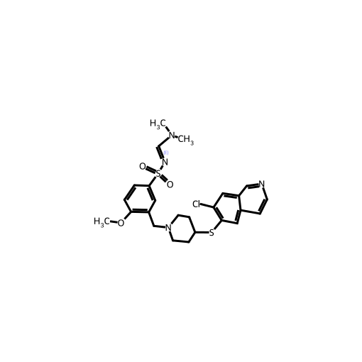 COc1ccc(S(=O)(=O)/N=C/N(C)C)cc1CN1CCC(Sc2cc3ccncc3cc2Cl)CC1